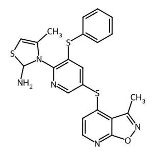 CC1=CSC(N)N1c1ncc(Sc2ccnc3onc(C)c23)cc1Sc1ccccc1